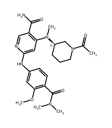 COc1cc(Nc2cc(N(C)[C@@H]3CCCN(C(C)=O)C3)c(C(N)=O)cn2)ccc1C(=O)N(C)C